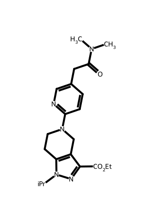 CCOC(=O)c1nn(C(C)C)c2c1CN(c1ccc(CC(=O)N(C)C)cn1)CC2